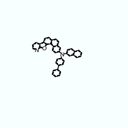 c1ccc(-c2ccc(N(c3ccc4ccccc4c3)c3ccc4c(ccc5ccc6c7cccnc7oc6c54)c3)cc2)cc1